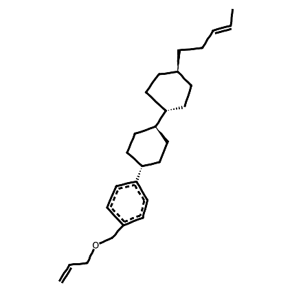 C=CCOCc1ccc([C@H]2CC[C@H]([C@H]3CC[C@H](CCC=CC)CC3)CC2)cc1